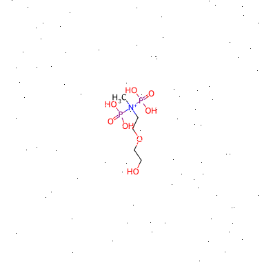 C[N+](CCOCCO)(P(=O)(O)O)P(=O)(O)O